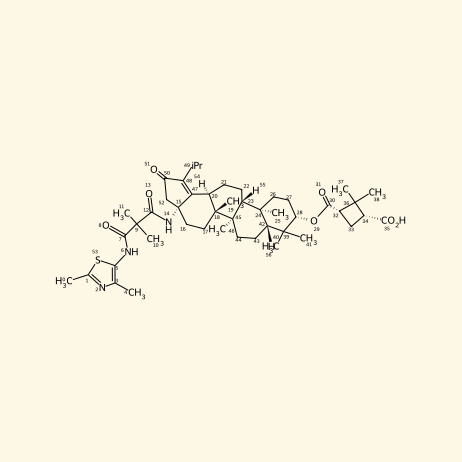 Cc1nc(C)c(NC(=O)C(C)(C)C(=O)N[C@@]23CC[C@]4(C)[C@H](CC[C@@H]5[C@@]6(C)CC[C@H](OC(=O)[C@H]7C[C@@H](C(=O)O)C7(C)C)C(C)(C)[C@@H]6CC[C@]54C)C2=C(C(C)C)C(=O)C3)s1